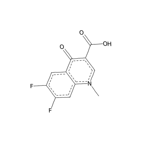 Cn1cc(C(=O)O)c(=O)c2cc(F)c(F)cc21